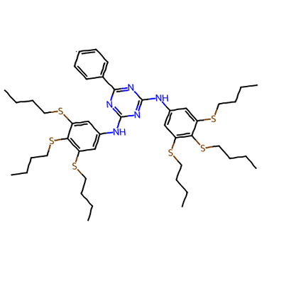 CCCCSc1cc(Nc2nc(Nc3cc(SCCCC)c(SCCCC)c(SCCCC)c3)nc(-c3cc[c]cc3)n2)cc(SCCCC)c1SCCCC